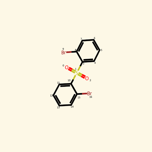 O=S(=O)(c1ccccc1Br)c1ccccc1Br